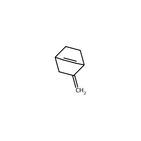 C=C1CC2C=CC1CC2